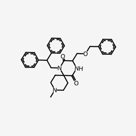 CN1CCC2(CC1)C(=O)NC(COCc1ccccc1)C(=O)N2CC(c1ccccc1)c1ccccc1